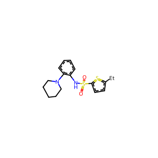 CCc1ccc(S(=O)(=O)Nc2ccccc2N2CCCCC2)s1